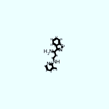 Cc1cccnc1NCCC(N)c1nsc2ccccc12